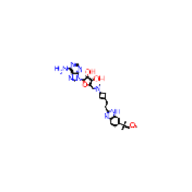 COCC(C)(C)c1ccc2nc(CCC3CC(N(C)CC4OC(n5cnc6c(N)ncnc65)[C@H](O)[C@@H]4O)C3)[nH]c2c1